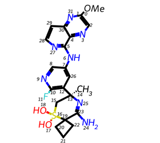 COc1cnc2c(Nc3cnc(F)c([C@]4(C)CS(O)(O)C5(CCC5)C(N)=N4)c3)nccc2n1